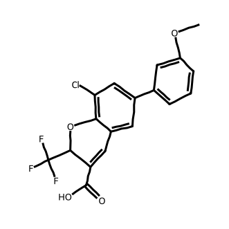 COc1cccc(-c2cc(Cl)c3c(c2)C=C(C(=O)O)C(C(F)(F)F)O3)c1